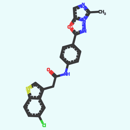 Cc1ncc2oc(-c3ccc(NC(=O)Cc4csc5ccc(Cl)cc45)cc3)nn12